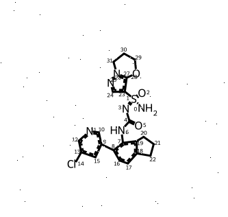 N[S@@](=O)(=NC(=O)Nc1c(-c2cncc(Cl)c2)ccc2c1CCC2)c1cnn2c1OCCC2